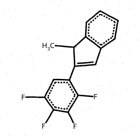 C[C]1C(c2cc(F)c(F)c(F)c2F)=Cc2ccccc21